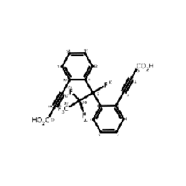 O=C(O)C#Cc1ccccc1C(F)(c1ccccc1C#CC(=O)O)C(F)(F)C(F)(F)F